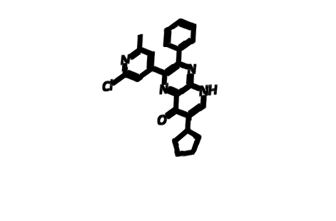 Cc1cc(-c2nc3c(=O)c(C4CCCC4)c[nH]c3nc2-c2ccccc2)cc(Cl)n1